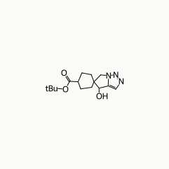 CC(C)(C)OC(=O)C1CCC2(CC1)Cn1nncc1C2O